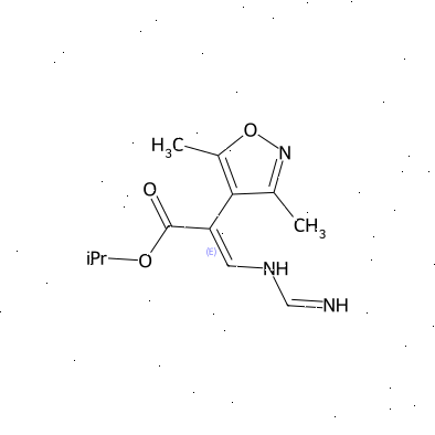 Cc1noc(C)c1/C(=C\NC=N)C(=O)OC(C)C